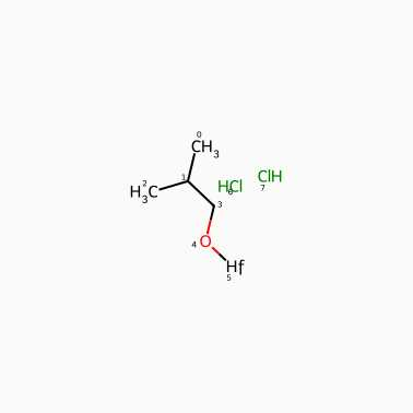 CC(C)C[O][Hf].Cl.Cl